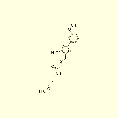 COCCCNC(=O)CSCc1nc(-c2cccc(OC)c2)oc1C